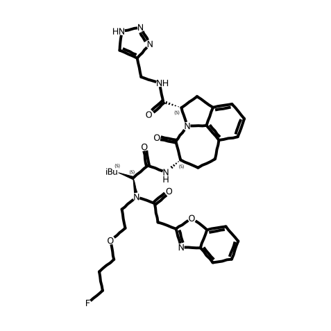 CC[C@H](C)[C@@H](C(=O)N[C@H]1CCc2cccc3c2N(C1=O)[C@H](C(=O)NCc1c[nH]nn1)C3)N(CCOCCCF)C(=O)Cc1nc2ccccc2o1